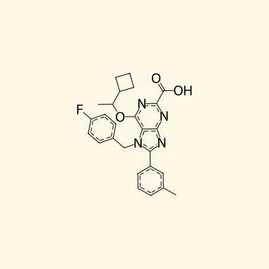 Cc1cccc(-c2nc3nc(C(=O)O)nc(OC(C)C4CCC4)c3n2Cc2ccc(F)cc2)c1